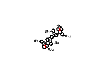 CC(C)(C)c1ccc(N(c2ccc(C(C)(C)C)cc2-c2ccccc2)c2ccc3c4cc5c(cc4n4c6c(C(C)(C)C)cccc6c2c34)c2ccc(N(c3ccc(C(C)(C)C)cc3)c3ccc(C(C)(C)C)cc3-c3ccccc3)c3c4cccc(C(C)(C)C)c4n5c23)cc1